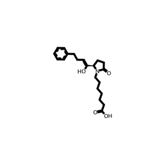 O=C(O)CCCCCCN1C(=O)CC[C@@H]1C(O)=CCCc1ccccc1